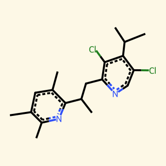 Cc1cc(C)c(C(C)Cc2ncc(Cl)c(C(C)C)c2Cl)nc1C